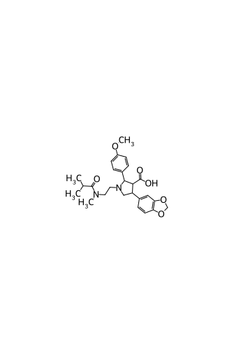 COc1ccc(C2C(C(=O)O)C(c3ccc4c(c3)OCO4)CN2CCN(C)C(=O)C(C)C)cc1